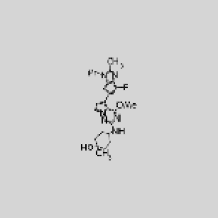 COc1nc(NC2CCC(C)(O)CC2)nn2ccc(-c3cc(F)c4nc(C)n(C(C)C)c4c3)c12